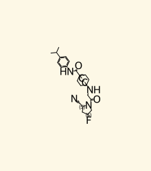 CC(C)c1ccc(NC(=O)C23CCC(NCC(=O)N4C[C@@H](F)C[C@H]4C#N)(CC2)CC3)cc1